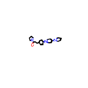 O=C(CCc1ccc(N2CCC(N3CCCC3)CC2)cc1)N1CCCC1